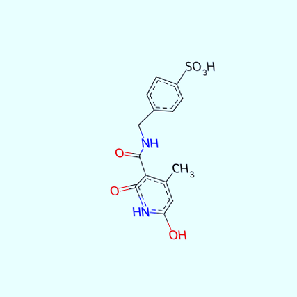 Cc1cc(O)[nH]c(=O)c1C(=O)NCc1ccc(S(=O)(=O)O)cc1